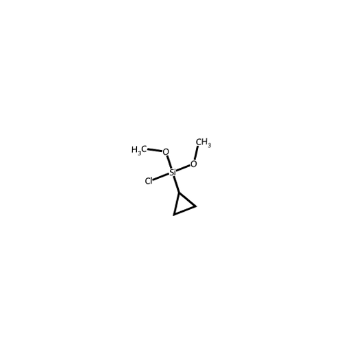 CO[Si](Cl)(OC)C1CC1